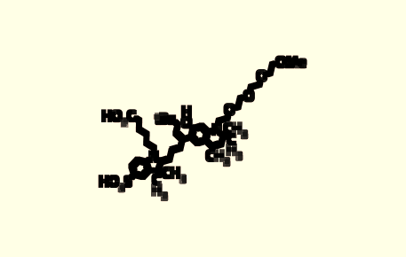 COCCOCCOCCOCCN1c2cc(O)c(C(=C\CC(C)(C)C)/C=C/C=C3\N(CCCCCC(=O)O)c4ccc(S(=O)(=O)O)cc4C3(C)C)cc2C(C)=CC1(C)C